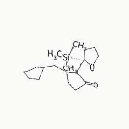 C[Si](C)(C)[C@]1(C2C(=O)CCC2CC2CCCC2)CCCO1